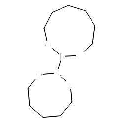 C1CCCOB(B2OCCCCCO2)OCC1